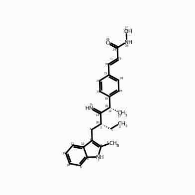 CC[C@H](Cc1c(C)[nH]c2ccccc12)C(=N)[C@@H](C)c1ccc(/C=C/C(=O)NO)cc1